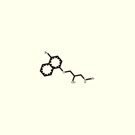 CC(C)NCC(O)COc1ccc(Br)c2ccccc12